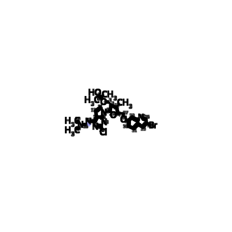 C[C@H]1[C@@H](COC(C)(C)O)[C@H](n2ccc3c(/N=C/N(C)C)nc(Cl)nc32)O[C@@H]1COc1ccc2cc(Br)cnc2c1